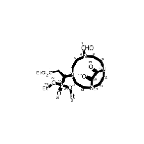 CCOC(=O)CC(N1CCN(C=O)CCN2CCN(CC1)C(=O)C2=O)P(=O)(OCC)OCC